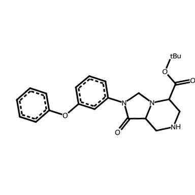 CC(C)(C)OC(=O)C1CNCC2C(=O)N(c3cccc(Oc4ccccc4)c3)CN12